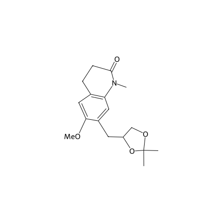 COc1cc2c(cc1CC1COC(C)(C)O1)N(C)C(=O)CC2